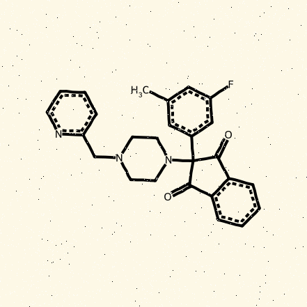 Cc1cc(F)cc(C2(N3CCN(Cc4ccccn4)CC3)C(=O)c3ccccc3C2=O)c1